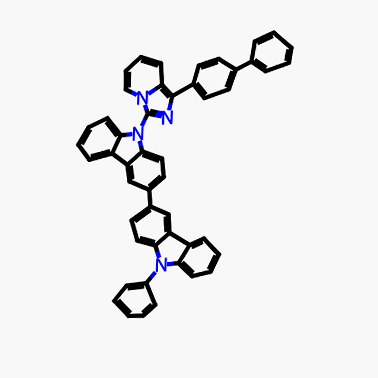 c1ccc(-c2ccc(-c3nc(-n4c5ccccc5c5cc(-c6ccc7c(c6)c6ccccc6n7-c6ccccc6)ccc54)n4ccccc34)cc2)cc1